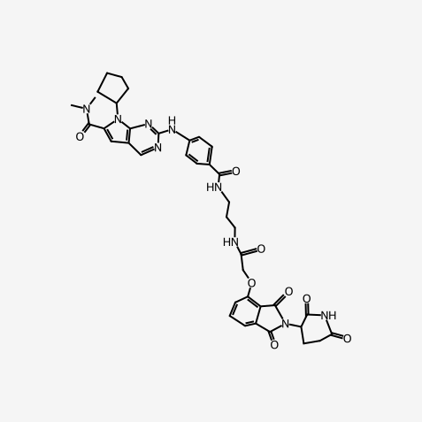 CN(C)C(=O)c1cc2cnc(Nc3ccc(C(=O)NCCCNC(=O)COc4cccc5c4C(=O)N(C4CCC(=O)NC4=O)C5=O)cc3)nc2n1C1CCCC1